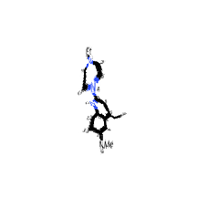 CCN1CCN(c2cc(C)c3c(n2)CCC(NC)=C3)CC1